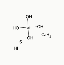 I.O[Si](O)(O)O.[CaH2].[S]